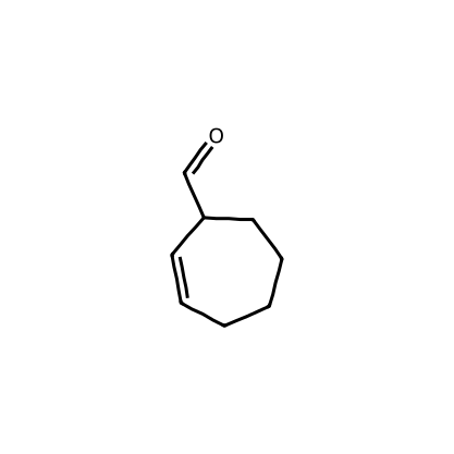 O=CC1C=CCCCC1